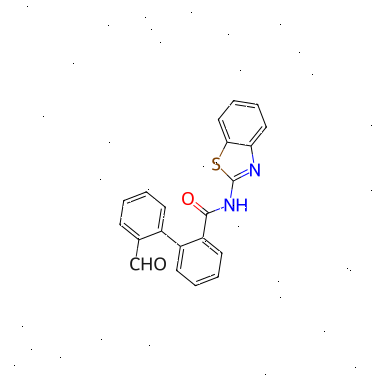 O=Cc1ccccc1-c1ccccc1C(=O)Nc1nc2ccccc2s1